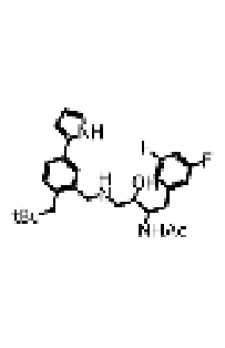 CC(=O)NC(Cc1cc(F)cc(F)c1)C(O)CNCc1cc(-c2ccc[nH]2)ccc1CC(C)(C)C